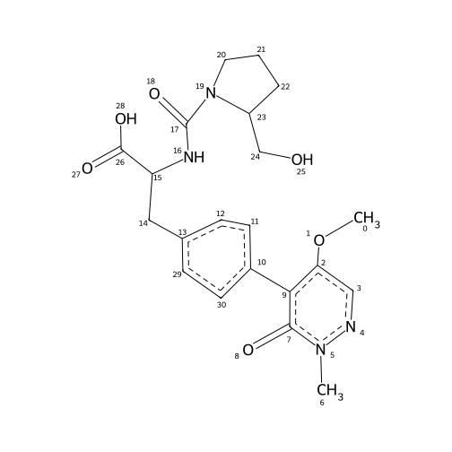 COc1cnn(C)c(=O)c1-c1ccc(CC(NC(=O)N2CCCC2CO)C(=O)O)cc1